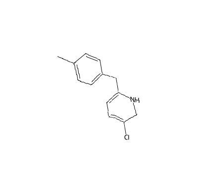 Cc1ccc(CC2=CC=C(Cl)CN2)cc1